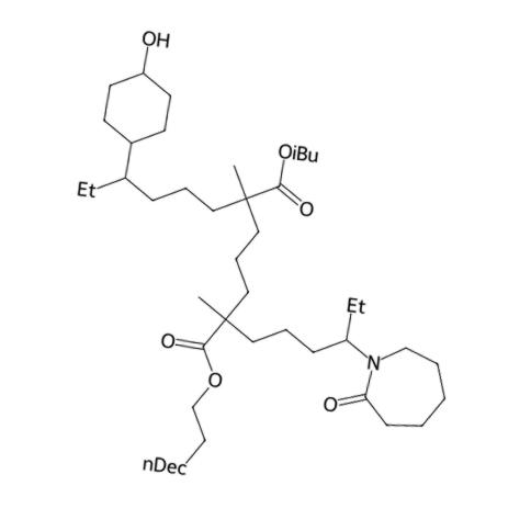 CCCCCCCCCCCCOC(=O)C(C)(CCCC(CC)N1CCCCCC1=O)CCCC(C)(CCCC(CC)C1CCC(O)CC1)C(=O)OCC(C)C